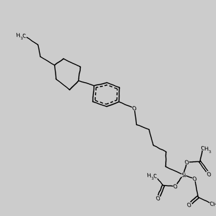 CCCC1CCC(c2ccc(OCCCCC[Si](OC(C)=O)(OC(C)=O)OC(C)=O)cc2)CC1